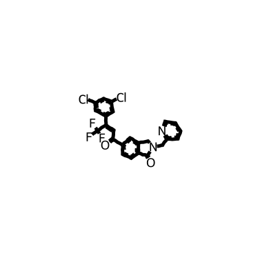 O=C(/C=C(/c1cc(Cl)cc(Cl)c1)C(F)(F)F)c1ccc2c(c1)CN(Cc1ccccn1)C2=O